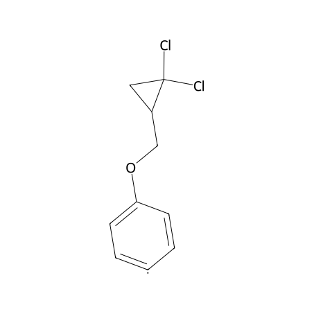 ClC1(Cl)CC1COc1cc[c]cc1